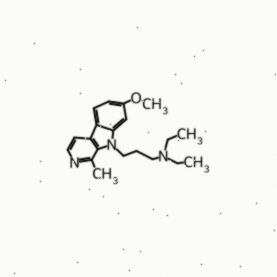 CCN(CC)CCCn1c2cc(OC)ccc2c2ccnc(C)c21